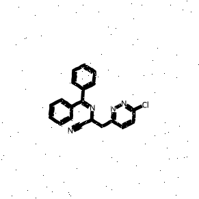 N#CC(Cc1ccc(Cl)nn1)N=C(c1ccccc1)c1ccccc1